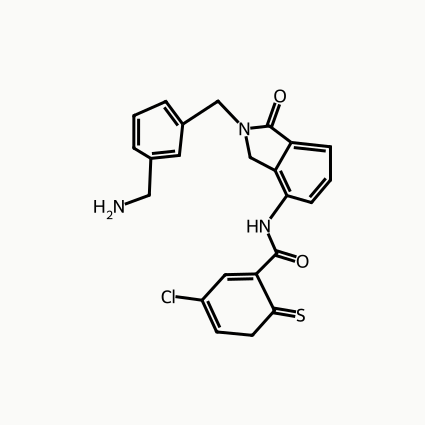 NCc1cccc(CN2Cc3c(NC(=O)C4=CC(Cl)=CCC4=S)cccc3C2=O)c1